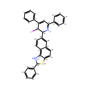 IC1C(c2ccccc2)=CC(c2ccccc2)=NC1c1ccc2c3c(ccc2c1)SC(c1ccccc1)N3